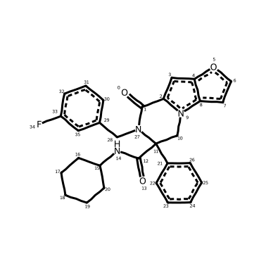 O=C1c2cc3occc3n2CC(C(=O)NC2CCCCC2)(c2ccccc2)N1Cc1cccc(F)c1